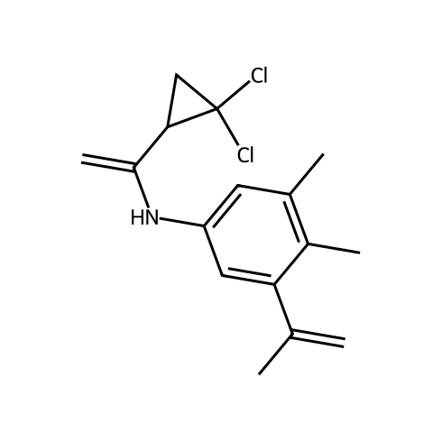 C=C(C)c1cc(NC(=C)C2CC2(Cl)Cl)cc(C)c1C